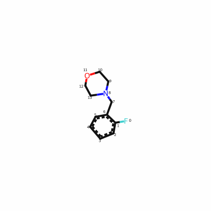 Fc1ccccc1CN1CCOCC1